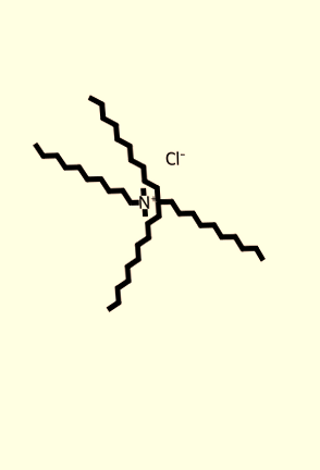 CCCCCCCCCCC(CCCCCCCCCC)(CCCCCCCCCC)[N+](C)(C)CCCCCCCCCC.[Cl-]